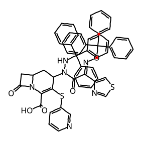 O=C(O)C1=C(Sc2cccnc2)C(N(NC(c2ccccc2)(c2ccccc2)c2ccccc2)C(=O)C(=NOC(c2ccccc2)(c2ccccc2)c2ccccc2)c2cscn2)CC2CC(=O)N12